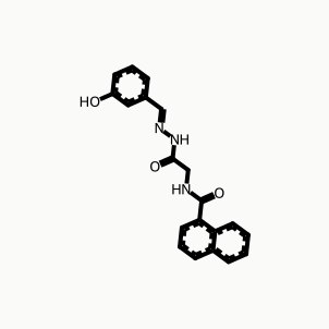 O=C(CNC(=O)c1cccc2ccccc12)NN=Cc1cccc(O)c1